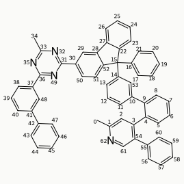 Cc1cc(-c2ccccc2-c2cccc(C3(c4ccccc4)c4ccccc4-c4cc(-c5nc(C)nc(-c6cccc(-c7ccccc7)c6)n5)ccc43)c2)c(-c2ccccc2)cn1